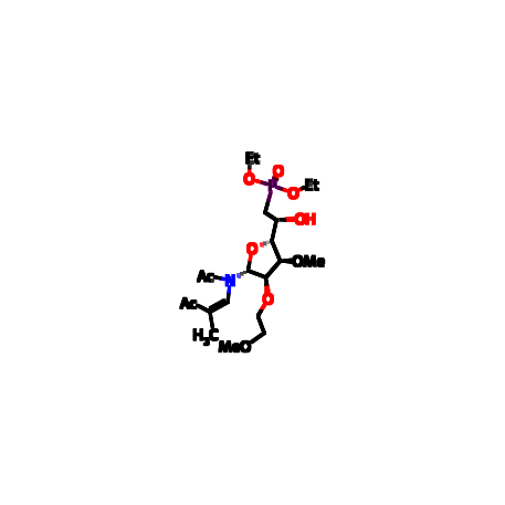 CCOP(=O)(C[C@@H](O)[C@H]1O[C@@H](N(/C=C(/C)C(C)=O)C(C)=O)[C@H](OCCOC)[C@@H]1OC)OCC